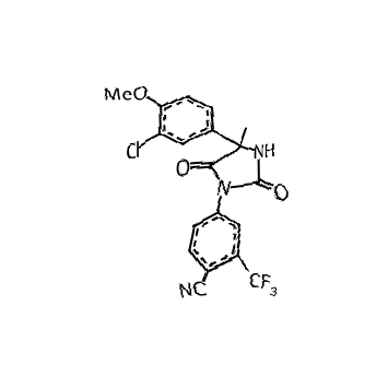 COc1ccc(C2(C)NC(=O)N(c3ccc(C#N)c(C(F)(F)F)c3)C2=O)cc1Cl